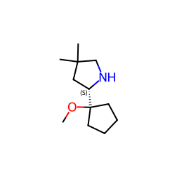 COC1([C@@H]2CC(C)(C)CN2)CCCC1